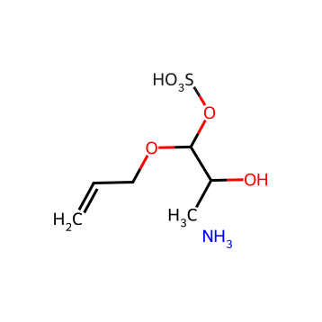 C=CCOC(OS(=O)(=O)O)C(C)O.N